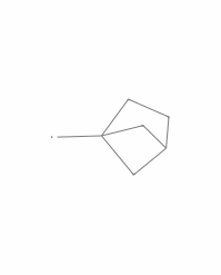 [CH2]C12CCC(C1)C2